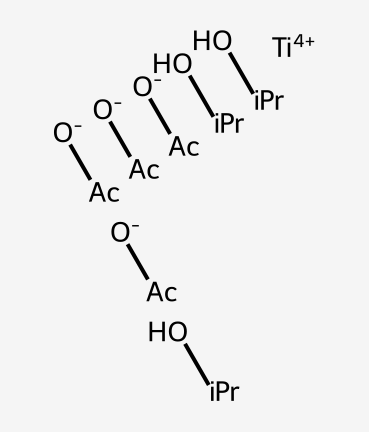 CC(=O)[O-].CC(=O)[O-].CC(=O)[O-].CC(=O)[O-].CC(C)O.CC(C)O.CC(C)O.[Ti+4]